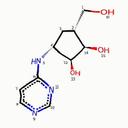 OC[C@H]1C[C@@H](Nc2ccncn2)[C@H](O)[C@@H]1O